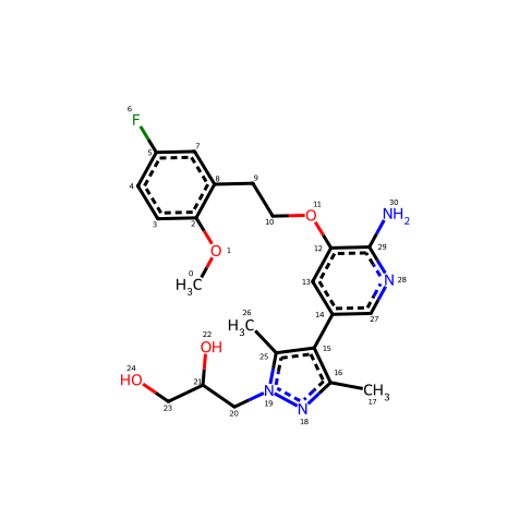 COc1ccc(F)cc1CCOc1cc(-c2c(C)nn(CC(O)CO)c2C)cnc1N